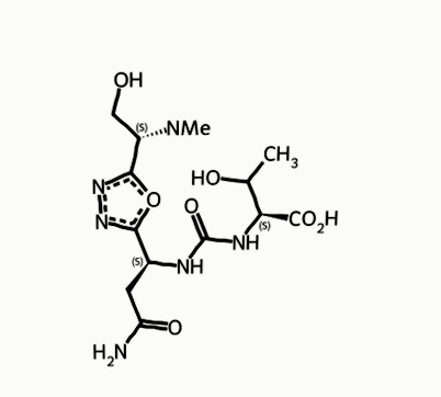 CN[C@@H](CO)c1nnc([C@H](CC(N)=O)NC(=O)N[C@H](C(=O)O)C(C)O)o1